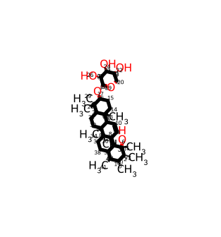 C[C@@H]1[C@@H](C)[C@@](C)(O)C2=C3C=CC4[C@@]5(C)CCC(O[C@@H]6OC[C@H](O)[C@H](O)[C@H]6O)C(C)(C)C5CC[C@@]4(C)[C@]3(C)CCC2[C@@H]1C